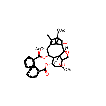 CC(=O)O[C@H]1C[C@@]2(O)[C@H]3OC[C@]4(O)[C@@H](OC(C)=O)C[C@H](OC(=O)c5ccccc5)[C@](C)([C@H]34)[C@@H](OC(=O)c3ccccc3)[C@H](OC(C)=O)C(=C1C)C2(C)C